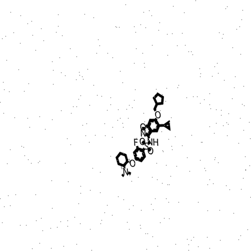 CN(C)[C@H]1CCCC[C@@H]1Oc1ccc(S(=O)(=O)Nc2noc3cc(OCC4CCCC4)c(C4CC4)cc23)c(F)c1